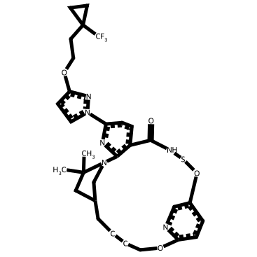 CC1(C)CC2CCCCOc3ccc(cn3)OSNC(=O)c3ccc(-n4ccc(OCCC5(C(F)(F)F)CC5)n4)nc3N1C2